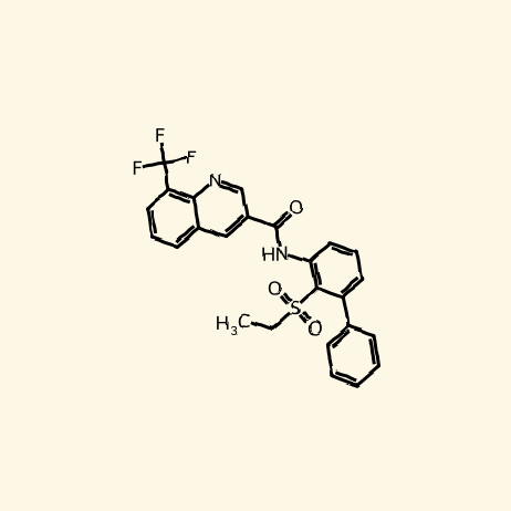 CCS(=O)(=O)c1c(NC(=O)c2cnc3c(C(F)(F)F)cccc3c2)cccc1-c1ccccc1